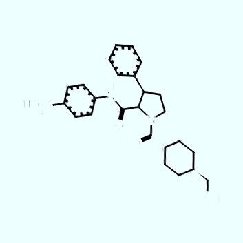 O=C(O)c1ccc(NC(=O)C2C(c3ccccc3)CCN2C(=O)[C@H]2CC[C@H](CO)CC2)cc1